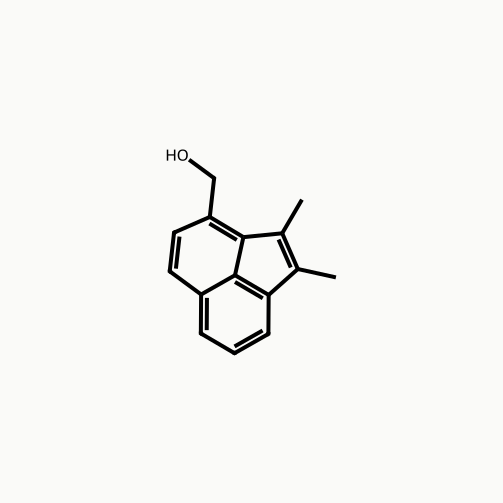 CC1=C(C)c2c(CO)ccc3cccc1c23